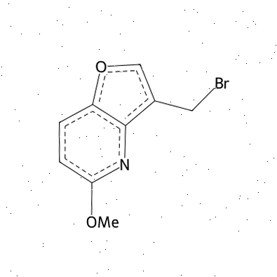 COc1ccc2occ(CBr)c2n1